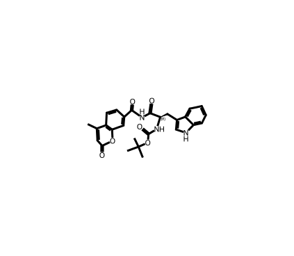 Cc1cc(=O)oc2cc(C(=O)NC(=O)[C@@H](Cc3c[nH]c4ccccc34)NC(=O)OC(C)(C)C)ccc12